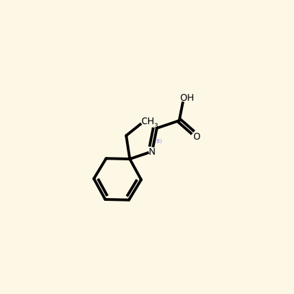 CCC1(/N=C/C(=O)O)C=CC=CC1